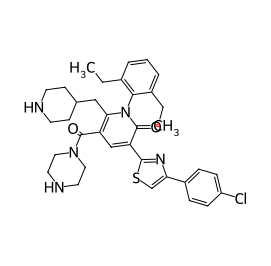 CCc1cccc(CC)c1-n1c(CC2CCNCC2)c(C(=O)N2CCNCC2)cc(-c2nc(-c3ccc(Cl)cc3)cs2)c1=O